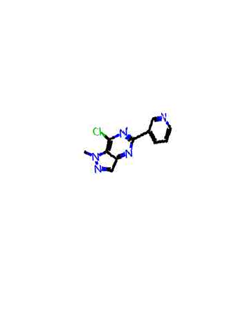 Cn1ncc2nc(-c3cccnc3)nc(Cl)c21